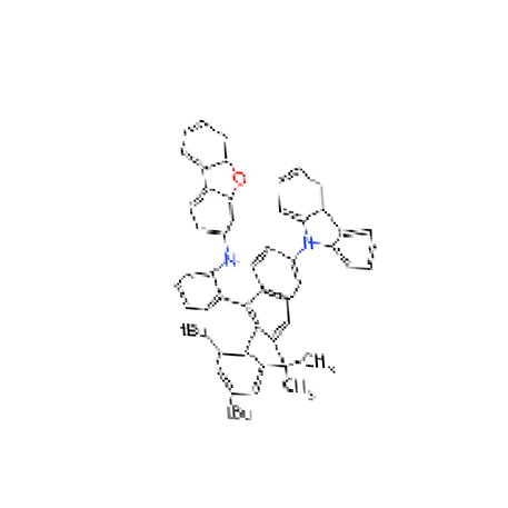 CC(C)(C)c1cc(C(C)(C)C)c2c(c1)C(C)(C)c1cccc(-c3ccccc3N(c3cccc(-n4c5ccccc5c5ccccc54)c3)c3ccc4c(c3)oc3ccccc34)c1-2